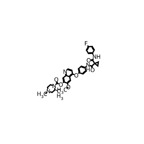 COc1cc2c(Oc3ccc(NC(=O)C4(C(=O)Nc5ccc(F)cc5)CC4)cc3)ccnc2cc1OC(=O)N1CCN(C)C[C@@H]1C